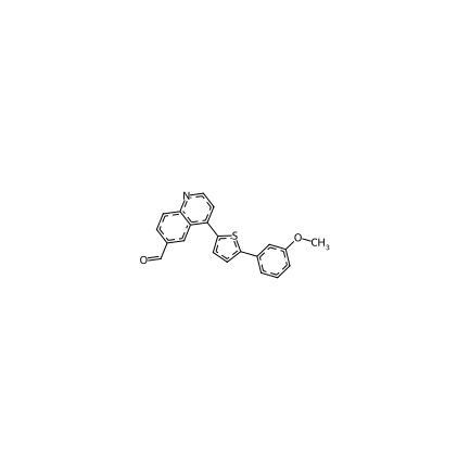 COc1cccc(-c2ccc(-c3ccnc4ccc(C=O)cc34)s2)c1